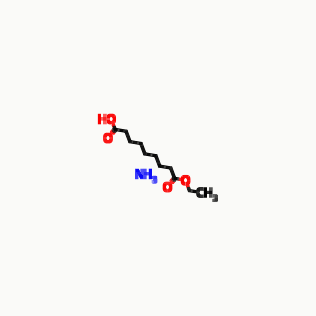 CCOC(=O)CCCCCCCC(=O)O.N